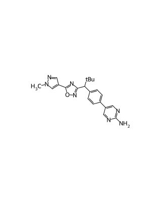 Cn1cc(-c2nc(C(c3ccc(-c4cnc(N)nc4)cc3)C(C)(C)C)no2)cn1